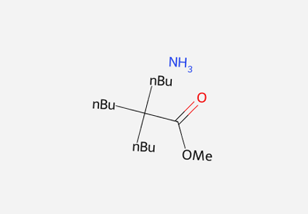 CCCCC(CCCC)(CCCC)C(=O)OC.N